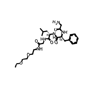 CCOCCOCCNC(=O)CNC(=O)[C@H](CC(C)C)NC(=O)[C@H](Cc1ccccc1)NC(=O)CN